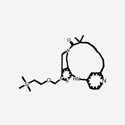 CC1(C)CCCCCc2cc(ccn2)Nc2nn(COCC[Si](C)(C)C)c3c2CN(C3)C1=O